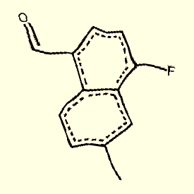 Cc1ccc2c(C=O)ccc(F)c2c1